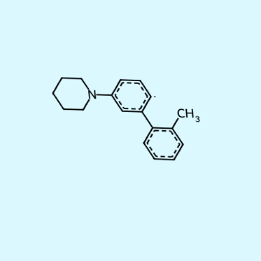 Cc1ccccc1-c1[c]ccc(N2CCCCC2)c1